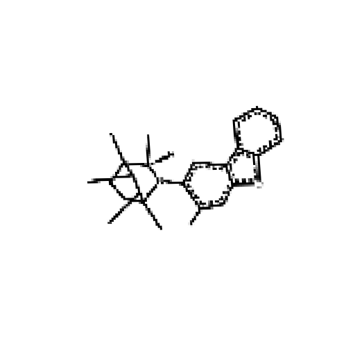 Cc1cc2oc3ccccc3c2cc1N1[C@@H](C)C2(C)CCC1(C)C(C)C2C